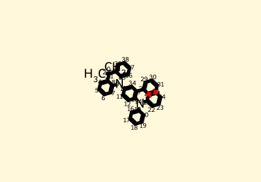 CC1(C)c2ccccc2N(c2ccc(N(c3ccccc3)c3ccccc3)c(-c3ccccc3)c2)c2ccccc21